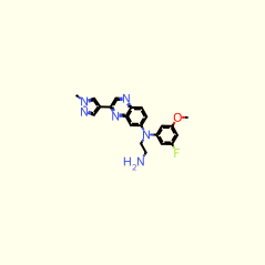 COc1cc(F)cc(N(CCN)c2ccc3ncc(-c4cnn(C)c4)nc3c2)c1